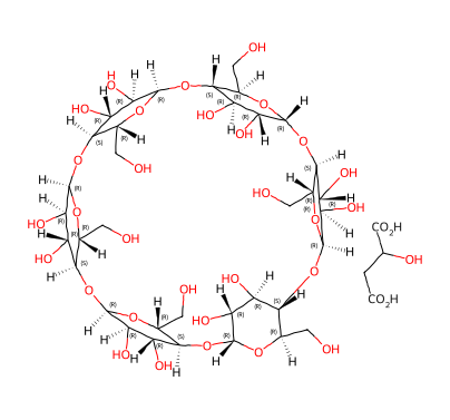 O=C(O)CC(O)C(=O)O.OC[C@H]1O[C@@H]2O[C@H]3[C@H](O)[C@@H](O)[C@@H](O[C@H]4[C@H](O)[C@@H](O)[C@@H](O[C@H]5[C@H](O)[C@@H](O)[C@@H](O[C@H]6[C@H](O)[C@@H](O)[C@@H](O[C@H]7[C@H](O)[C@@H](O)[C@@H](O[C@H]1[C@H](O)[C@H]2O)O[C@@H]7CO)O[C@@H]6CO)O[C@@H]5CO)O[C@@H]4CO)O[C@@H]3CO